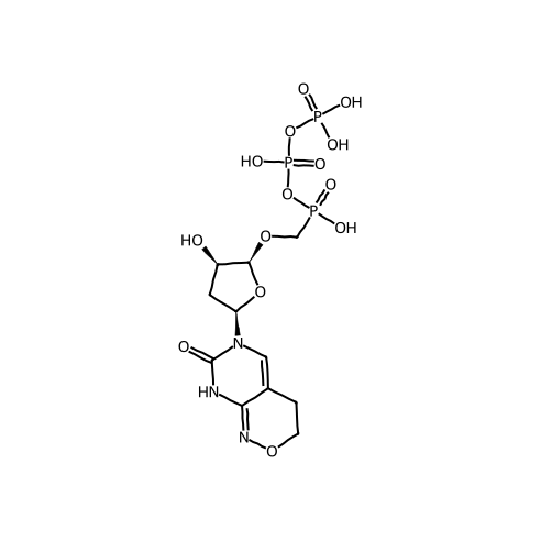 O=C1NC2=NOCCC2=CN1[C@H]1C[C@@H](O)[C@@H](OCP(=O)(O)OP(=O)(O)OP(=O)(O)O)O1